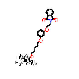 CC(C)(C)[Si](C)(C)OCCCCCOc1cccc(OCCN2C(=O)c3ccccc3C2=O)c1